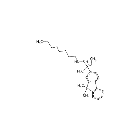 CCCCCCCCN[SiH2]C(C)(CC)c1ccc2c(c1)C(C)(C)c1ccccc1-2